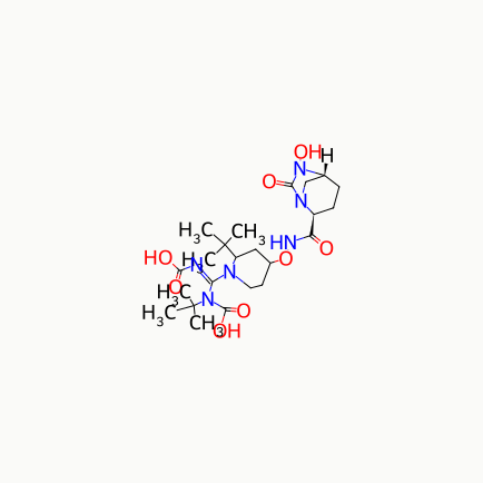 CC(C)(C)C1CC(ONC(=O)[C@@H]2CC[C@@H]3CN2C(=O)N3O)CCN1C(=NC(=O)O)N(C(=O)O)C(C)(C)C